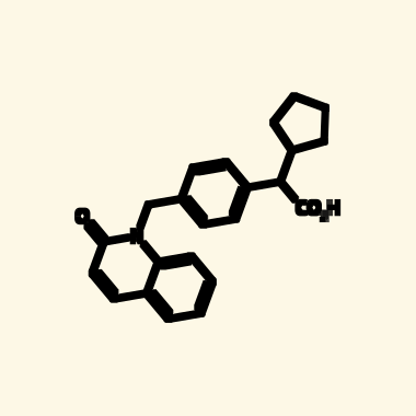 O=C(O)C(c1ccc(Cn2c(=O)ccc3ccccc32)cc1)C1CCCC1